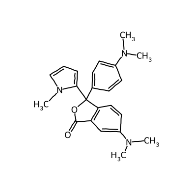 CN(C)c1ccc(C2(c3cccn3C)OC(=O)c3cc(N(C)C)ccc32)cc1